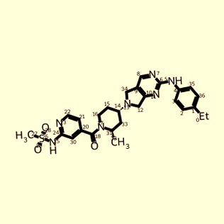 CCc1ccc(Nc2ncc3c(n2)CN([C@H]2CCN(C(=O)c4ccnc(NS(C)(=O)=O)c4)[C@H](C)C2)C3)cc1